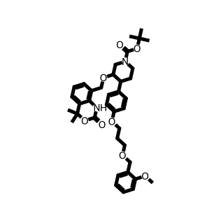 COc1ccccc1COCCCOc1ccc(C2CCN(C(=O)OC(C)(C)C)CC2OCc2cccc3c2NC(=O)OC3(C)C)cc1